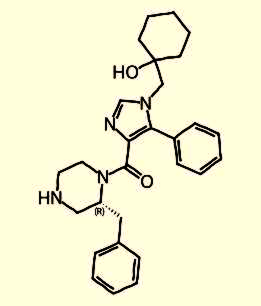 O=C(c1ncn(CC2(O)CCCCC2)c1-c1ccccc1)N1CCNC[C@H]1Cc1ccccc1